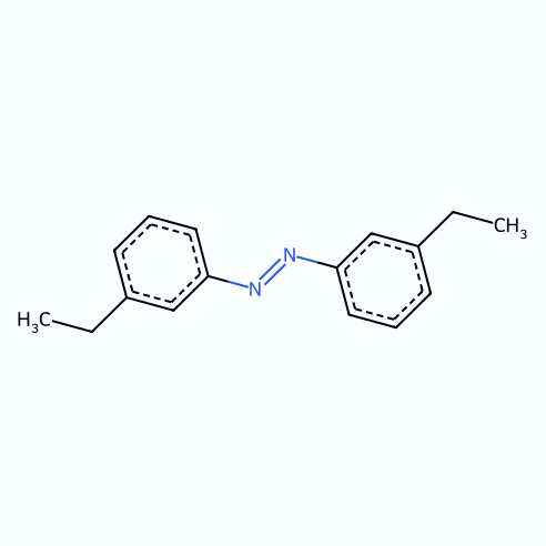 CCc1cccc(/N=N/c2cccc(CC)c2)c1